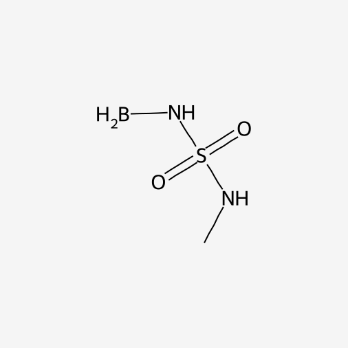 BNS(=O)(=O)NC